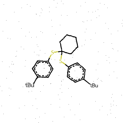 CC(C)(C)c1ccc(SC2(Sc3ccc(C(C)(C)C)cc3)CCCCC2)cc1